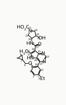 CCc1ccc(OCC2CC2)c(-c2ncnc3c(C(=O)NC4CN(C(=O)O)CC4O)c(C)[nH]c23)c1